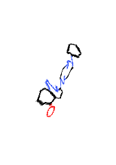 O=C1CCCc2nc(N3CCN(c4ccccc4)CC3)ccc21